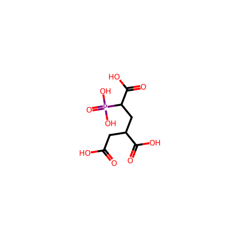 O=C(O)CC(CC(C(=O)O)P(=O)(O)O)C(=O)O